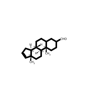 C[C@@]12C=CC[C@H]1[C@@H]1CCC3CC(C=O)CC[C@]3(C)[C@H]1CC2